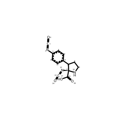 O=C=Nc1ccc(C2CCN[C@]2(N=C=O)C(=O)O)cc1